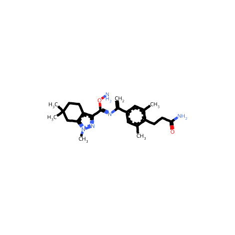 C=C(/N=C(\ON)c1nn(C)c2c1CCC(C)(C)C2)c1cc(C)c(CCC(N)=O)c(C)c1